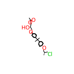 CC(=O)OC[C@@H](O)COc1ccc(C(C)(C)c2ccc(OC[C@H](C)CCl)cc2)cc1